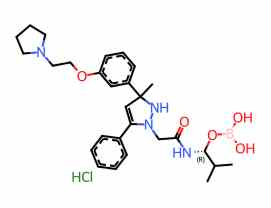 CC(C)[C@H](NC(=O)CN1NC(C)(c2cccc(OCCN3CCCC3)c2)C=C1c1ccccc1)OB(O)O.Cl